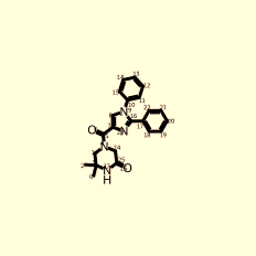 CC1(C)CN(C(=O)c2cn(-c3ccccc3)c(-c3ccccc3)n2)CC(=O)N1